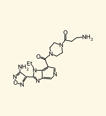 CCn1c(-c2nonc2N)nc2cncc(C(=O)N3CCN(C(=O)CCN)CC3)c21